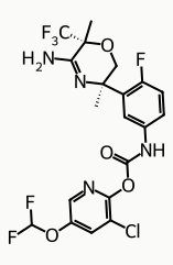 C[C@@]1(c2cc(NC(=O)Oc3ncc(OC(F)F)cc3Cl)ccc2F)CO[C@@](C)(C(F)(F)F)C(N)=N1